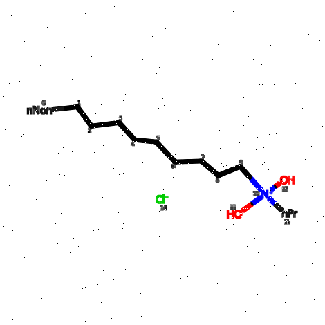 CCCCCCCCCCCCCCCCCC[N+](O)(O)CCC.[Cl-]